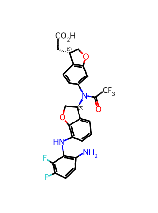 Nc1ccc(F)c(F)c1Nc1cccc2c1OC[C@H]2N(C(=O)C(F)(F)F)c1ccc2c(c1)OC[C@H]2CC(=O)O